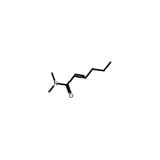 CCCC=CC(=O)N(C)C